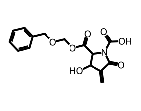 C=C1C(=O)N(C(=O)O)C(C(=O)OCOCc2ccccc2)C1O